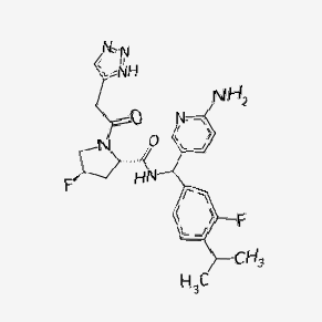 CC(C)c1ccc(C(NC(=O)[C@@H]2C[C@@H](F)CN2C(=O)Cc2cnn[nH]2)c2ccc(N)nc2)cc1F